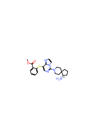 COC(=O)c1ccccc1Sc1cnc(N2CCC3(CCC[C@H]3N)CC2)n2ccnc12